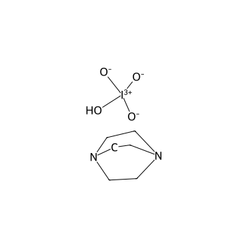 C1CN2CCN1CC2.[O-][I+3]([O-])([O-])O